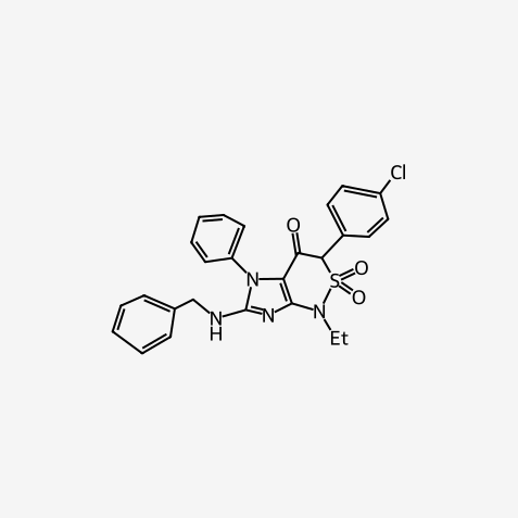 CCN1c2nc(NCc3ccccc3)n(-c3ccccc3)c2C(=O)C(c2ccc(Cl)cc2)S1(=O)=O